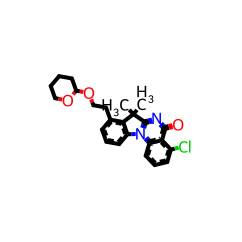 CC1(C)c2c(CCOC3CCCCO3)cccc2-n2c1nc(=O)c1c(Cl)cccc12